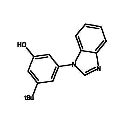 CC(C)(C)c1cc(O)cc(-n2cnc3ccccc32)c1